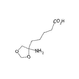 NC1(CCCCC(=O)O)COCO1